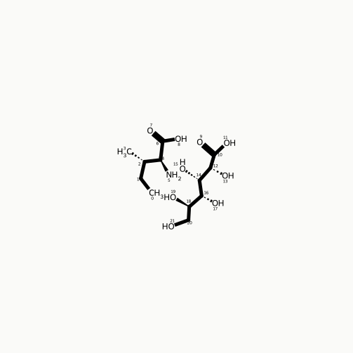 CC[C@H](C)[C@H](N)C(=O)O.O=C(O)[C@H](O)[C@@H](O)[C@H](O)[C@H](O)CO